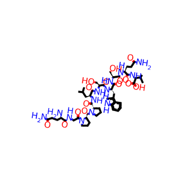 CC(C)C[C@H](NC(=O)[C@@H]1CCCN1C(=O)[C@@H]1CCCN1C(=O)CNC(=O)[C@@H](N)CCC(N)=O)C(=O)N[C@@H](CO)C(=O)N[C@@H](Cc1c[nH]c2ccccc12)C(=O)N[C@@H](CO)C(=O)N[C@@H](CCC(N)=O)C(=O)N[C@H](C(=O)O)C(C)C